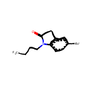 CC(C)(C)c1ccc2c(c1)CC(=O)N2CCCC(F)(F)F